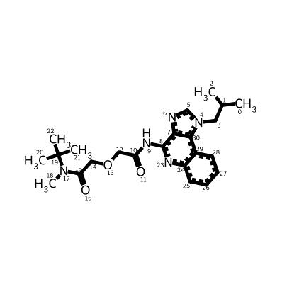 CC(C)Cn1cnc2c(NC(=O)COCC(=O)N(C)C(C)(C)C)nc3ccccc3c21